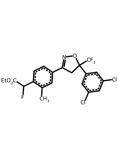 CCOC(=O)C(F)c1ccc(C2=NOC(c3cc(Cl)cc(Cl)c3)(C(F)(F)F)C2)cc1C